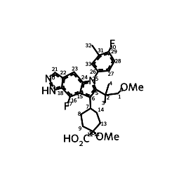 COCC(C)(C)c1c(C2CCC(OC)(C(=O)O)CC2)c2c(F)c3[nH]ncc3cc2n1-c1ccc(F)c(C)c1